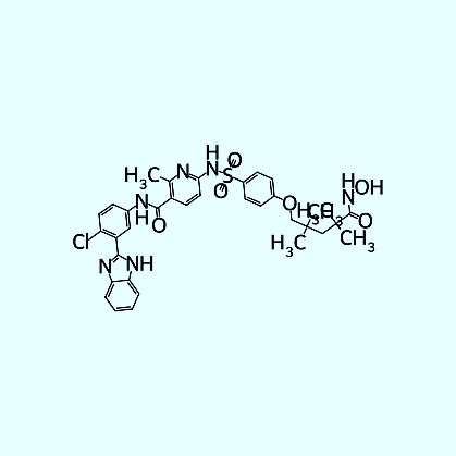 Cc1nc(NS(=O)(=O)c2ccc(OCC(C)(C)CC(C)(C)C(=O)NO)cc2)ccc1C(=O)Nc1ccc(Cl)c(-c2nc3ccccc3[nH]2)c1